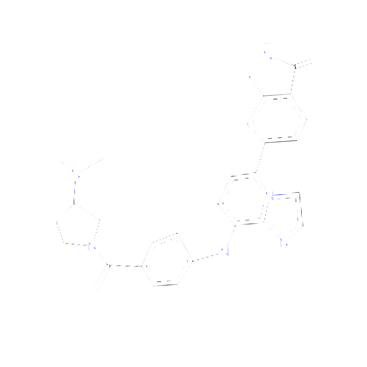 CN(C)C1CCN(C(=O)c2ccc(Nc3ccc(-c4ccc5c(c4)CNC5=O)n4ccnc34)cc2)C1